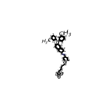 Cc1cccc(N(c2cccc(C)c2)c2ccc3cc(/C=C/c4cc[n+](CCCCS(=O)(=O)[O-])cc4)ccc3c2)c1